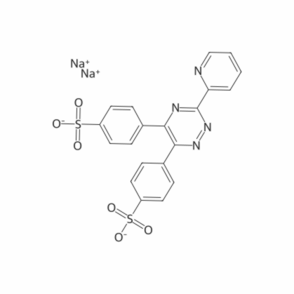 O=S(=O)([O-])c1ccc(-c2nnc(-c3ccccn3)nc2-c2ccc(S(=O)(=O)[O-])cc2)cc1.[Na+].[Na+]